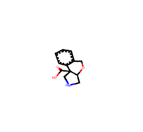 O=C(O)C12CNCC1OCc1ccccc12